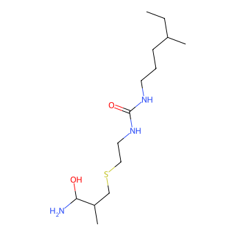 CCC(C)CCCNC(=O)NCCSCC(C)C(N)O